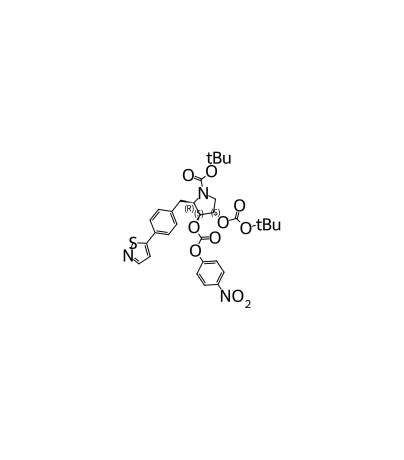 CC(C)(C)OC(=O)O[C@H]1CN(C(=O)OC(C)(C)C)[C@H](Cc2ccc(-c3ccns3)cc2)[C@@H]1OC(=O)Oc1ccc([N+](=O)[O-])cc1